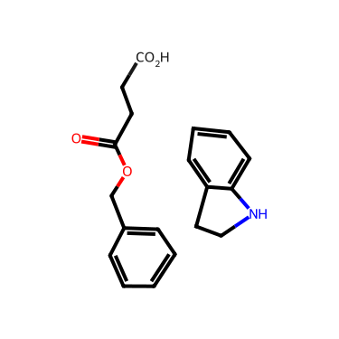 O=C(O)CCC(=O)OCc1ccccc1.c1ccc2c(c1)CCN2